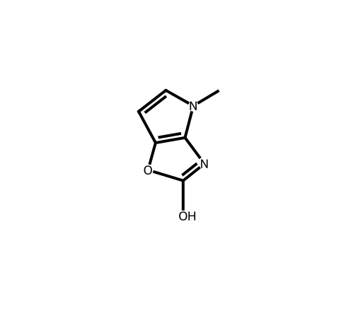 Cn1ccc2oc(O)nc21